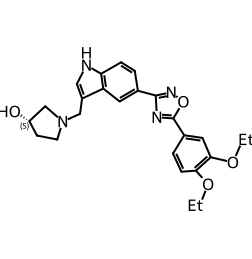 CCOc1ccc(-c2nc(-c3ccc4[nH]cc(CN5CC[C@H](O)C5)c4c3)no2)cc1OCC